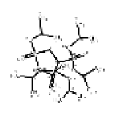 CC(C)OP(=O)(CC(P(=O)(OC(C)C)OC(C)C)P(=O)(OC(C)C)OC(C)C)OC(C)C